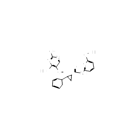 COc1cccc(NC(=O)[C@@H]2C[C@@]2(COc2cnc(C)nc2C)C2C=CC=CC2)n1